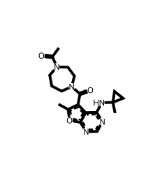 CC(=O)N1CCCN(C(=O)c2c(C)oc3ncnc(NC4(C)CC4)c23)CC1